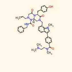 C=CCN1CC(=O)N2[C@@H](Cc3ccc(O)cc3)C(=O)N(Cc3cccc4c(-c5ccc(C(=O)N(C)CCN(C)C)cc5)cn(C)c34)C[C@@H]2N1C(=O)NCc1ccccc1